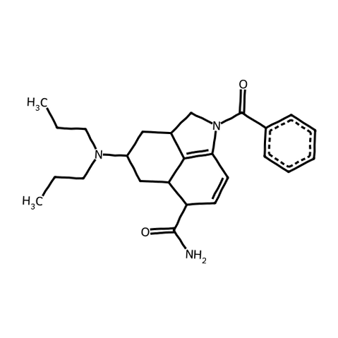 CCCN(CCC)C1CC2CN(C(=O)c3ccccc3)C3=C2C(C1)C(C(N)=O)C=C3